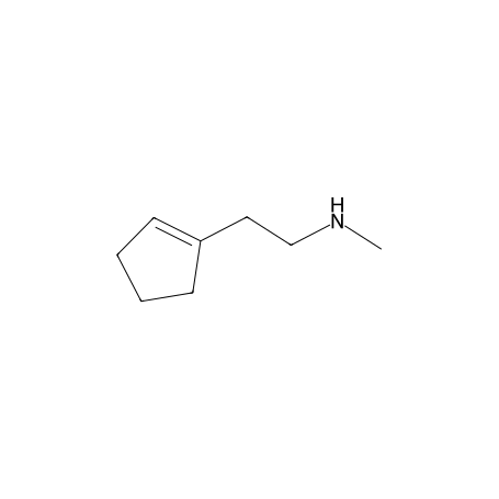 CNCCC1=CCCC1